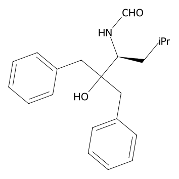 CC(C)C[C@H](NC=O)C(O)(Cc1ccccc1)Cc1ccccc1